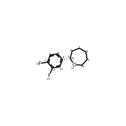 Fc1ccc([C@@H]2CCCCCO2)cc1F